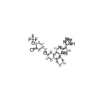 FC(F)(F)Oc1ccc(COc2cccc(-c3cnc4c(-c5nnn[nH]5)cnn4c3C3CCCCC3)c2)cc1Cl